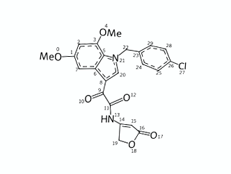 COc1cc(OC)c2c(c1)c(C(=O)C(=O)NC1=CC(=O)OC1)cn2Cc1ccc(Cl)cc1